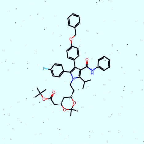 CC(C)c1c(C(=O)Nc2ccccc2)c(-c2ccc(OCc3ccccc3)cc2)c(-c2ccc(F)cc2)n1CC[C@@H]1C[C@H](CC(=O)OC(C)(C)C)OC(C)(C)O1